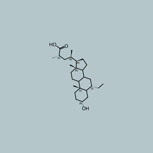 CC[C@H]1CC2C(CC[C@@]3(C)C2CC[C@@H]3[C@H](C)C[C@H](C)C(=O)O)[C@@]2(C)CC[C@@H](O)CC12